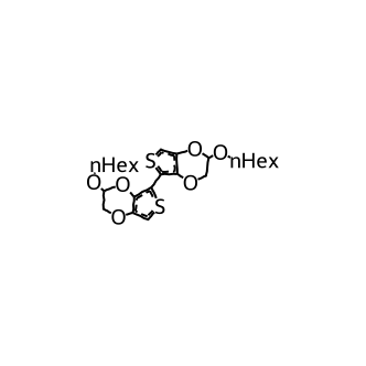 CCCCCCOC1COc2c(csc2-c2scc3c2OC(OCCCCCC)CO3)O1